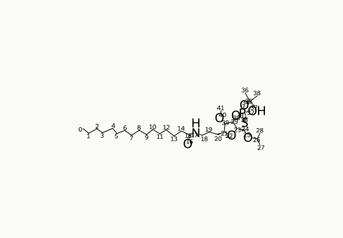 CCCCCCCCCCCCCCCC(=O)NCCC[C@@H]1O[C@H](COC(C)C)C(OP(O)(=S)OC(C)(C)C)[C@@H]1OC